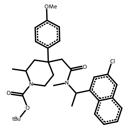 COc1ccc(C2(CC(=O)N(C)C(C)c3cc(Cl)cc4ccccc34)CCN(C(=O)OC(C)(C)C)C(C)C2)cc1